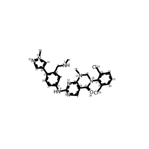 CNCc1cc(Nc2ncc3c(n2)N(C)CN(c2c(Cl)cccc2Cl)C3=O)ccc1-c1cnn(C)c1